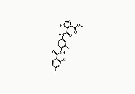 COC(=O)c1nc[nH]c1C(=O)Nc1ccc(NC(=O)c2ccc(F)cc2Cl)c(C)c1